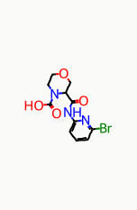 O=C(Nc1cccc(Br)n1)C1COCCN1C(=O)O